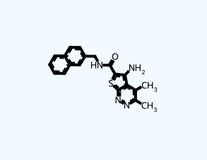 Cc1nnc2sc(C(=O)NCc3ccc4ccccc4c3)c(N)c2c1C